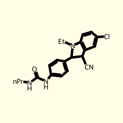 CCCNC(=O)Nc1ccc(C2C(C#N)c3cc(Cl)ccc3N2CC)cc1